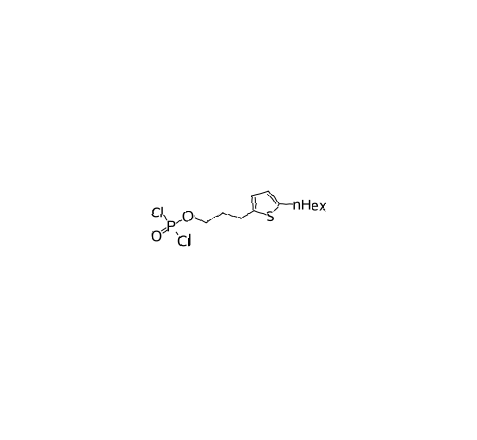 CCCCCCc1ccc(CCCOP(=O)(Cl)Cl)s1